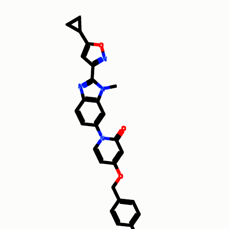 Cn1c(-c2cc(C3CC3)on2)nc2ccc(-n3ccc(OCc4ccc(F)cc4)cc3=O)cc21